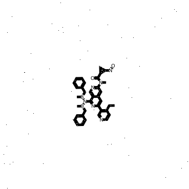 CCc1ccncc1-c1cc2cc(N(C)C(=O)C3CC3N=O)ncc2c(N(B(C)Cc2ccccc2)B(C)Cc2ccccc2)n1